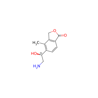 Cc1c([C@H](O)CN)ccc2c1COC2=O